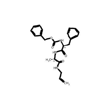 C=CCNC(=O)[C@H](C)NC(=O)[C@H](Cc1ccccc1)NC(=O)OCc1ccccc1